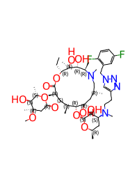 CC[C@H]1OC(=O)[C@H](C)[C@@H](O[C@H]2C[C@@](C)(OC)[C@@H](O)[C@H](C)O2)[C@H](C)[C@@H](O[C@@H]2O[C@H](C)C[C@H](N(C)CCc3cn(Cc4cc(F)ccc4F)nn3)[C@H]2O)[C@](C)(O)C[C@@H](C)CN(C)[C@H](C)[C@@H](O)[C@]1(C)O